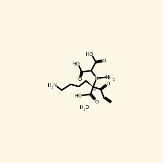 C=CC(=O)[C@](CCCCN)(C(=O)O)N(N)C(C(=O)O)C(=O)O.O